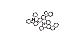 c1ccc(N(c2ccc(-c3ccccc3-n3c4ccccc4c4ccccc43)cc2)c2ccccc2-c2cccc3oc4ccccc4c23)c(-c2ccc3c(ccc4ccccc43)c2)c1